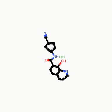 Cl.N#Cc1ccc(NC(=O)c2ccc3cccnc3c2O)cc1